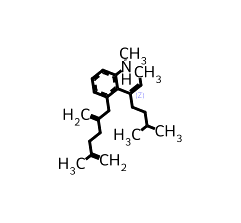 C=C(C)CCC(=C)Cc1cccc(NC)c1/C(=C\C)CCC(C)C